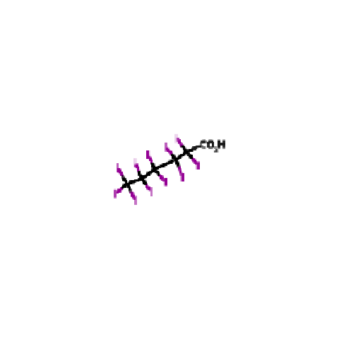 O=C(O)C(I)(I)C(I)(I)C(I)(I)C(I)(I)C(I)(I)I